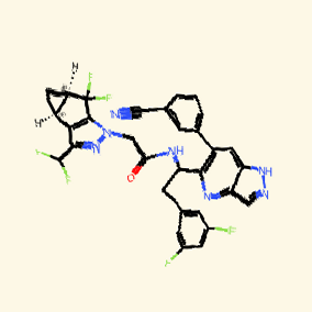 N#Cc1cccc(-c2cc3[nH]ncc3nc2C(Cc2cc(F)cc(F)c2)NC(=O)Cn2nc(C(F)F)c3c2C(F)(F)[C@@H]2C[C@H]32)c1